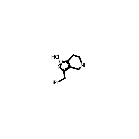 CC(C)Cc1noc2c1CNCC2.Cl